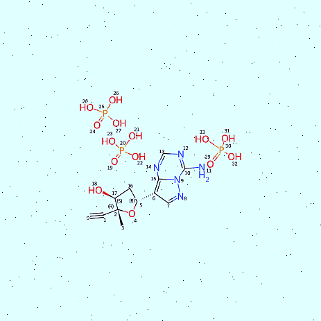 C#C[C@@]1(C)O[C@@H](c2cnn3c(N)ncnc23)C[C@@H]1O.O=P(O)(O)O.O=P(O)(O)O.O=P(O)(O)O